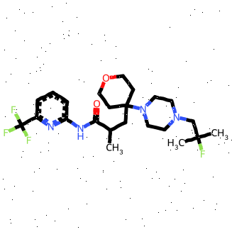 CC(CC1(N2CCN(CC(C)(C)F)CC2)CCOCC1)C(=O)Nc1cccc(C(F)(F)F)n1